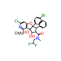 COc1nc(Cl)cc2c1C1(O)C(O)C(C(=O)N(C)CC(F)F)C(c3ccccc3)C1(c1ccc(Br)cc1)O2